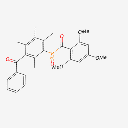 COc1cc(OC)c(C(=O)[PH](=O)c2c(C)c(C)c(C)c(C(=O)c3ccccc3)c2C)c(OC)c1